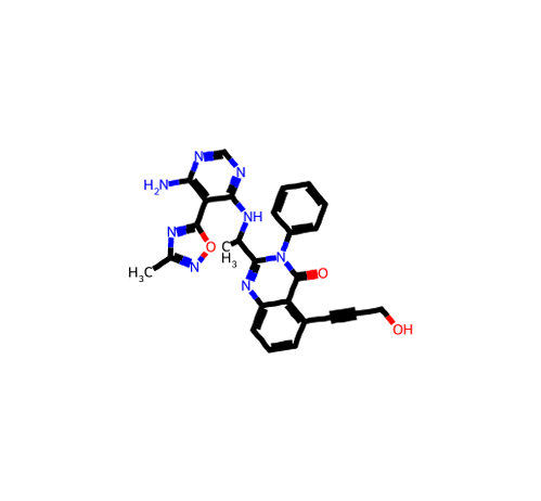 Cc1noc(-c2c(N)ncnc2NC(C)c2nc3cccc(C#CCO)c3c(=O)n2-c2ccccc2)n1